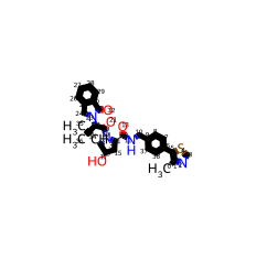 Cc1ncsc1-c1ccc(CNC(=O)[C@@H]2C[C@@H](O)CN2C(=O)C(N2Cc3ccccc3C2=O)C(C)(C)C)cc1